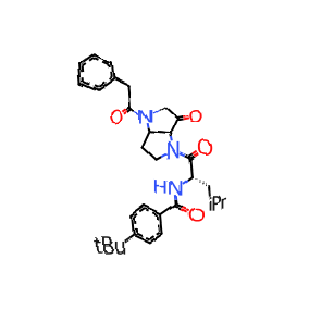 CC(C)C[C@H](NC(=O)c1ccc(C(C)(C)C)cc1)C(=O)N1CCC2C1C(=O)CN2C(=O)Cc1ccccc1